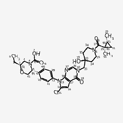 CC[C@H]1CN(C(=O)O)[C@H](c2ccc(-n3c(Cl)cc4c(=O)n(CC5(O)CCN(C(=O)[C@]6(C)C[C@H]6C)CC5)cnc43)cc2)CO1